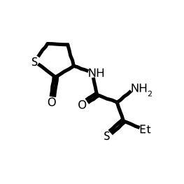 CCC(=S)C(N)C(=O)NC1CCSC1=O